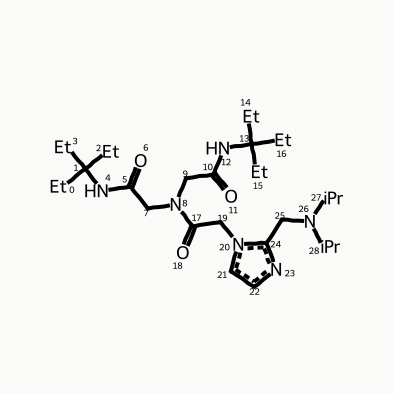 CCC(CC)(CC)NC(=O)CN(CC(=O)NC(CC)(CC)CC)C(=O)Cn1ccnc1CN(C(C)C)C(C)C